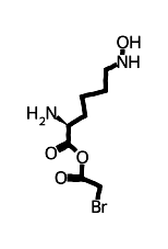 N[C@@H](CCCCNO)C(=O)OC(=O)CBr